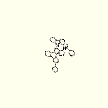 c1ccc(-c2ccc3c4ccc(-n5c6ccccc6c6ccc7cc(-c8ccccc8)n(-c8ccccc8)c7c65)cc4c4ccccc4c3c2)cc1